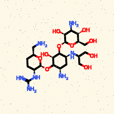 N=C(N)N[C@@H]1CC[C@@H](CN)O[C@@H]1OC1[C@@H](N)C[C@@H](NC(CO)CO)[C@H](O[C@H]2O[C@H](CO)[C@@H](O)[C@H](N)[C@H]2O)[C@H]1O